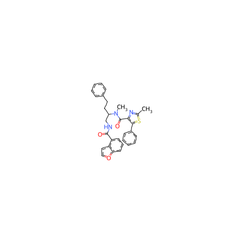 Cc1nc(C(=O)N(C)C(CCc2ccccc2)CNC(=O)c2cccc3occc23)c(-c2ccccc2)s1